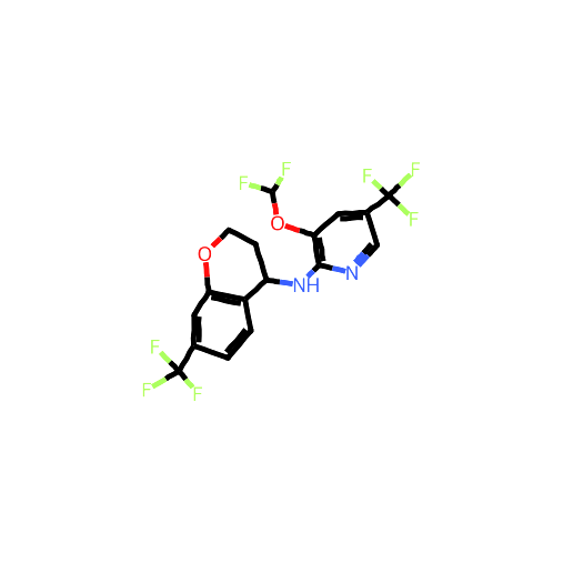 FC(F)Oc1cc(C(F)(F)F)cnc1NC1CCOc2cc(C(F)(F)F)ccc21